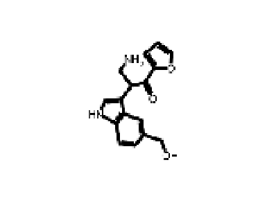 NCC(C(=O)c1ccco1)c1c[nH]c2ccc(CO)cc12